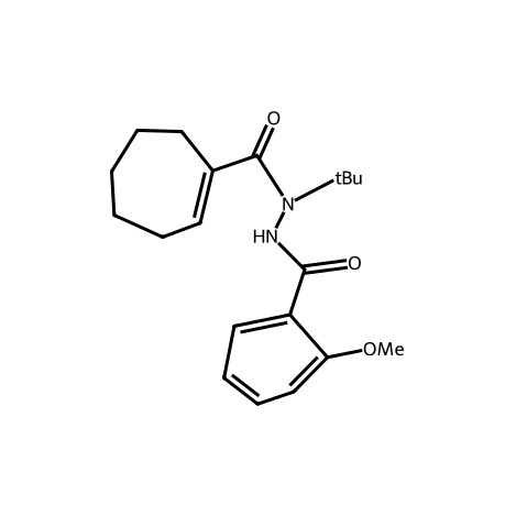 COc1ccccc1C(=O)NN(C(=O)C1=CCCCCC1)C(C)(C)C